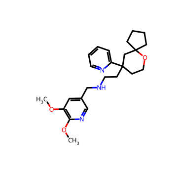 COc1cc(CNCCC2(c3ccccn3)CCOC3(CCCC3)C2)cnc1OC